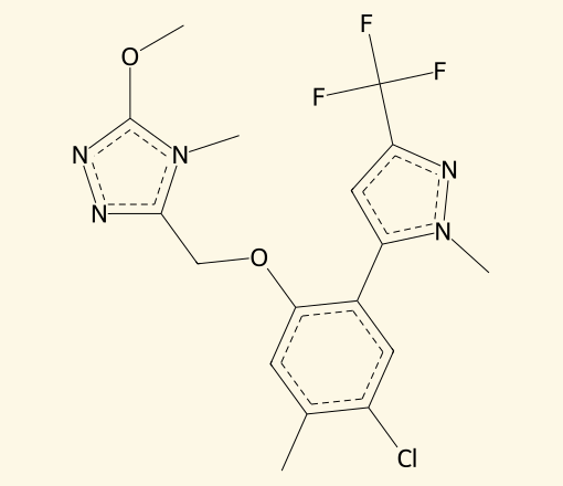 COc1nnc(COc2cc(C)c(Cl)cc2-c2cc(C(F)(F)F)nn2C)n1C